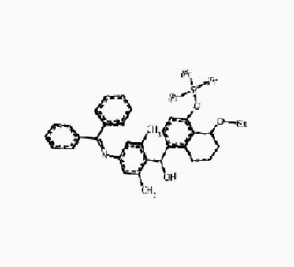 CCOC1CCCc2c(C(O)c3c(C)cc(N=C(c4ccccc4)c4ccccc4)cc3C)ccc(O[Si](C(C)C)(C(C)C)C(C)C)c21